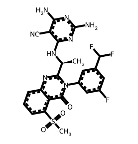 C[C@H](Nc1nc(N)nc(N)c1C#N)c1nc2cccc(S(C)(=O)=O)c2c(=O)n1-c1cc(F)cc(C(F)F)c1